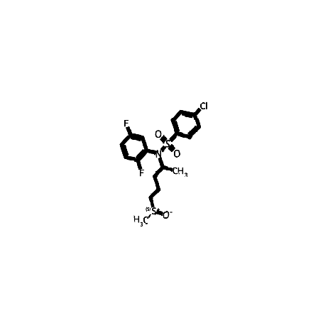 CC(CCC[S@@+](C)[O-])N(c1cc(F)ccc1F)S(=O)(=O)c1ccc(Cl)cc1